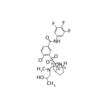 CC(O)CN(C)C[C@@]1(O)C2CC[C@H]1C[C@H](S(=O)(=O)c1cc(C(=O)Nc3cc(F)c(F)c(F)c3)ccc1Cl)C2